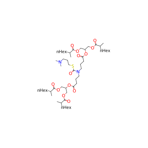 CCCCCCC(C)C(=O)OCC(COC(=O)C(C)CCCCCC)OC(=O)CCCN(CCCC(=O)OC(COC(=O)C(C)CCCCCC)COC(=O)C(C)CCCCCC)C(=O)SCCCN(C)C